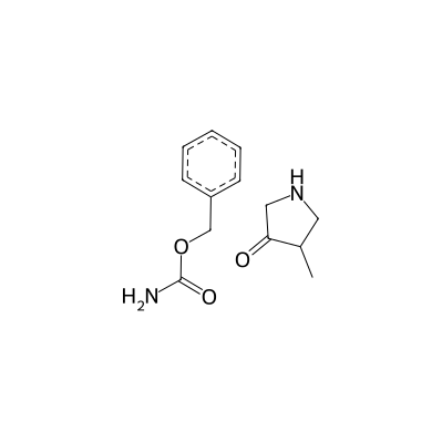 CC1CNCC1=O.NC(=O)OCc1ccccc1